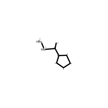 CCC[CH]NC(C)C1CCCC1